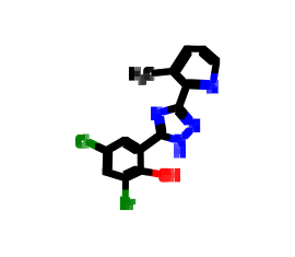 Cc1cccnc1-c1n[nH]c(-c2cc(Cl)cc(Br)c2O)n1